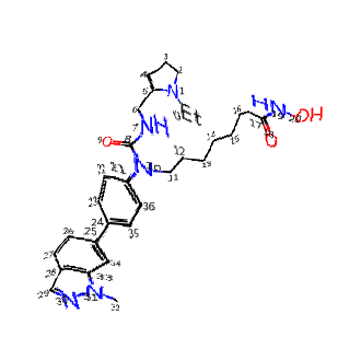 CCN1CCCC1CNC(=O)N(CCCCCCC(=O)NO)c1ccc(-c2ccc3cnn(C)c3c2)cc1